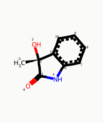 C[C@]1(O)C(=O)Nc2ccccc21